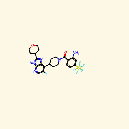 Nc1cc(S(F)(F)(F)(F)F)ccc1C(=O)N1CCC(c2c(F)cnc3[nH]c(C4CCOCC4)nc23)CC1